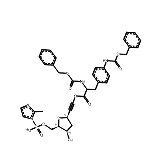 Cc1nccn1P(=O)(O)OC[C@H]1O[C@@H](C#COC(=O)C(Cc2ccc(NC(=O)OCc3ccccc3)cc2)NC(=O)OCc2ccccc2)C[C@H]1O